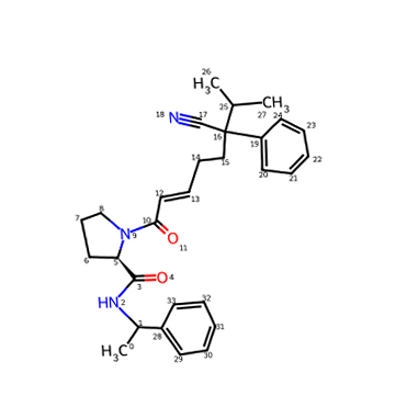 CC(NC(=O)[C@H]1CCCN1C(=O)/C=C/CCC(C#N)(c1ccccc1)C(C)C)c1ccccc1